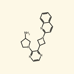 NC1CCN(c2nccnc2C2CN(c3ccc4ccccc4n3)C2)C1